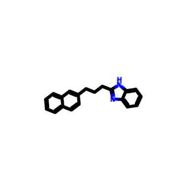 c1ccc2cc(CCCc3nc4ccccc4[nH]3)ccc2c1